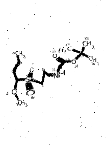 CCCC(OC)S(=O)(=O)CCNC(=O)OC(C)(C)C